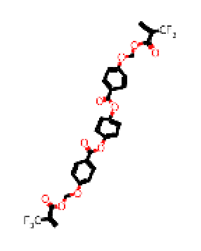 C=C(C(=O)OCOc1ccc(C(=O)Oc2ccc(OC(=O)c3ccc(OCOC(=O)C(=C)C(F)(F)F)cc3)cc2)cc1)C(F)(F)F